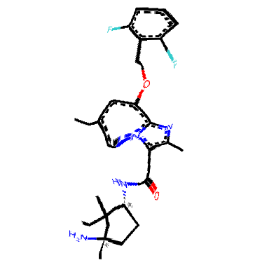 Cc1cc(OCc2c(F)cccc2F)c2nc(C)c(C(=O)N[C@@H]3CC[C@](C)(N)C3(C)C)n2c1